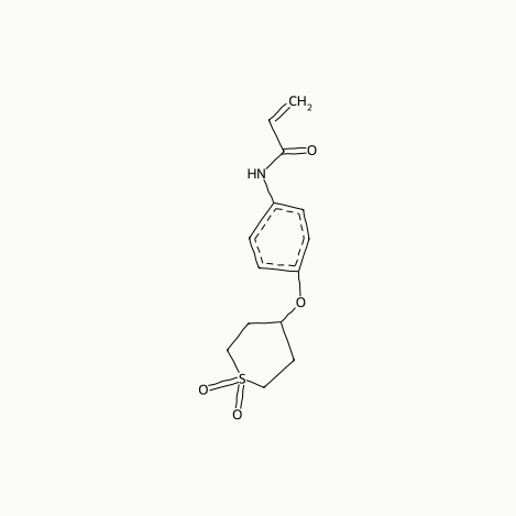 C=CC(=O)Nc1ccc(OC2CCS(=O)(=O)CC2)cc1